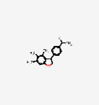 Cc1cc2c(c(C)c1C)C(c1ccc(C(C)C)cc1)CO2